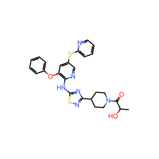 CC(O)C(=O)N1CCC(c2nsc(Nc3ncc(Sc4ccccn4)cc3Oc3ccccc3)n2)CC1